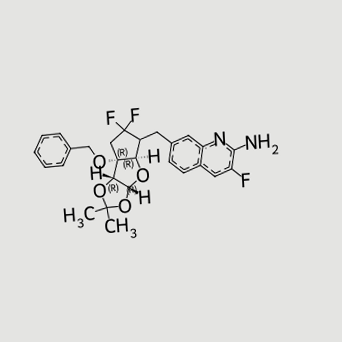 CC1(C)O[C@H]2O[C@@H]3C(Cc4ccc5cc(F)c(N)nc5c4)C(F)(F)C[C@]3(OCc3ccccc3)[C@H]2O1